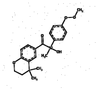 COOc1ccc([N+](C)(O)C(=O)c2ccc3c(c2)C(C)(C)CCO3)cc1